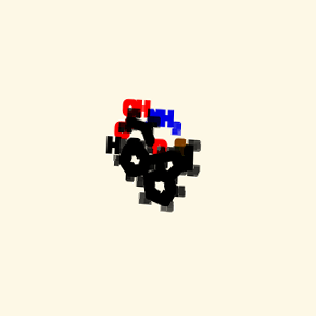 C[C@@H](OC1(c2ccccc2)c2ccccc2-c2ccsc21)[C@H](N)C(=O)O